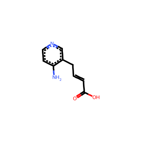 Nc1ccncc1C/C=C/C(=O)O